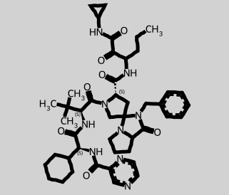 CCCC(NC(=O)[C@@H]1CC2(CN1C(=O)[C@@H](NC(=O)[C@@H](NC(=O)c1cnccn1)C1CCCCC1)C(C)(C)C)N(Cc1ccccc1)C(=O)C1CCCN12)C(=O)C(=O)NC1CC1